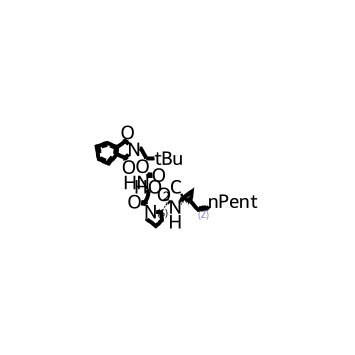 CCCCC/C=C\C1C[C@]1(NC(=O)[C@@H]1CCCN1C(=O)CNC(=O)OC(CN1C(=O)c2ccccc2C1=O)C(C)(C)C)C(=O)O